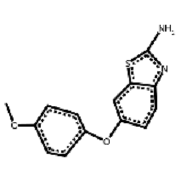 COc1ccc(Oc2ccc3nc(N)sc3c2)cc1